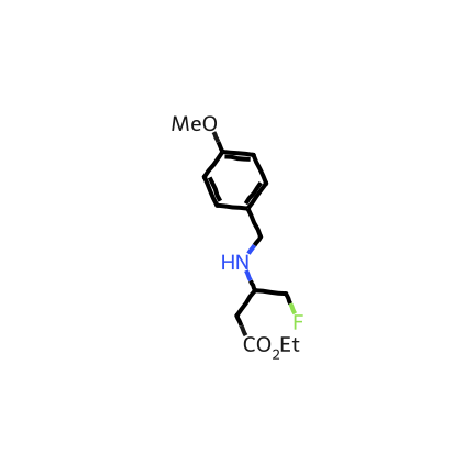 CCOC(=O)CC(CF)NCc1ccc(OC)cc1